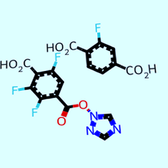 O=C(O)c1ccc(C(=O)O)c(F)c1.O=C(On1cncn1)c1cc(F)c(C(=O)O)c(F)c1F